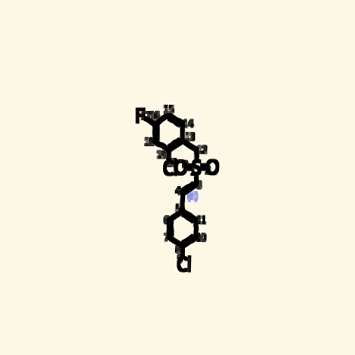 O=S(=O)(/C=C/c1ccc(Cl)cc1)Cc1ccc(F)cc1Cl